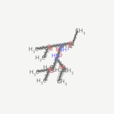 CCCCCCCCCC[C@@H](CC)OC(=O)CCCCCN(CCCCCCCC(=O)OC(CCCCCCCC)CCCCCCCC)CCNC(=O)CCC(=O)NCCN(CCCCCCC(C)(C)C(=O)OC(CCCCCCCC)CCCCCCCC)CCCCCC(=O)O[C@H](CC)CCCCCCCCCC